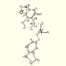 CN(CCc1ccc2c(c1)CCS2)C[C@@H]1CCCc2c1ccc1c2OCO1